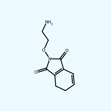 NCCON1C(=O)C2=C(CCC=C2)C1=O